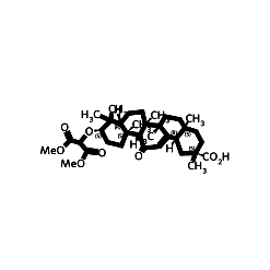 COC(=O)C(O[C@H]1CC[C@]2(C)[C@H]3C(=O)C=C4[C@@H]5C[C@@](C)(C(=O)O)CC[C@]5(C)CC[C@@]4(C)[C@]3(C)CC[C@H]2C1(C)C)C(=O)OC